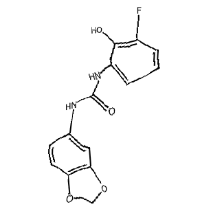 O=C(Nc1ccc2c(c1)OCO2)Nc1cccc(F)c1O